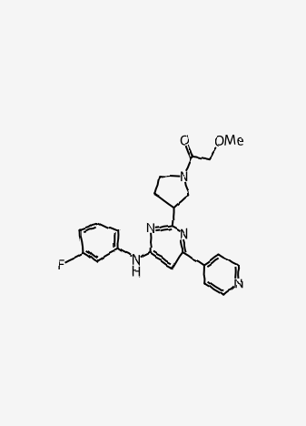 COCC(=O)N1CCC(c2nc(Nc3cccc(F)c3)cc(-c3ccncc3)n2)C1